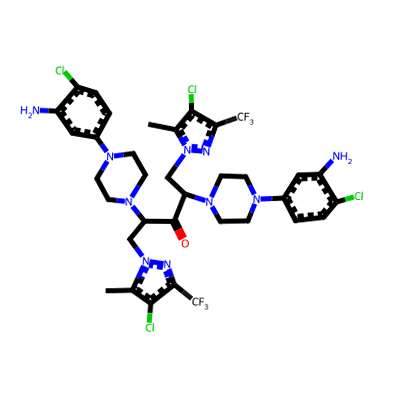 Cc1c(Cl)c(C(F)(F)F)nn1CC(C(=O)C(Cn1nc(C(F)(F)F)c(Cl)c1C)N1CCN(c2ccc(Cl)c(N)c2)CC1)N1CCN(c2ccc(Cl)c(N)c2)CC1